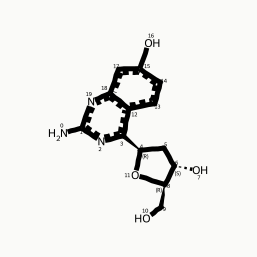 Nc1nc([C@H]2C[C@H](O)[C@@H](CO)O2)c2ccc(O)cc2n1